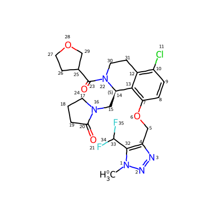 Cn1nnc(COc2ccc(Cl)c3c2[C@@H](CN2CCCC2=O)N(C(=O)C2CCOC2)CC3)c1C(F)F